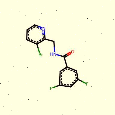 O=C(NCc1ncccc1Br)c1cc(F)cc(F)c1